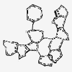 c1ccc(-c2nc(-n3c4ccccc4c4ccc5c6ccccc6sc5c43)c3c(n2)c2c4ccccc4ccc2n3-c2ccccc2)cc1